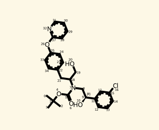 CC(C)(C)OC(=O)N(C[C@H](O)c1cccc(Cl)c1)C(CO)Cc1ccc(Oc2ccccn2)cc1